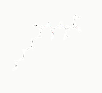 C=CCCCCC[C@@H](C)OC(=O)N[C@H](C(=O)OC)C(C)(C)C